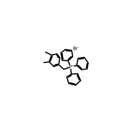 Cc1ccc(C[P+](c2ccccc2)(c2ccccc2)c2ccccc2)cc1C.[Br-]